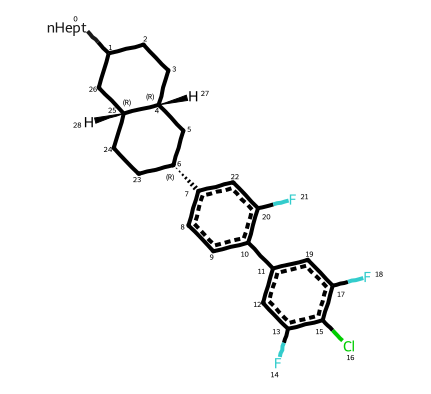 CCCCCCCC1CC[C@@H]2C[C@H](c3ccc(-c4cc(F)c(Cl)c(F)c4)c(F)c3)CC[C@@H]2C1